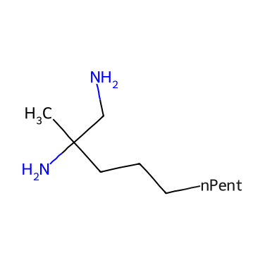 CCCCCCCCC(C)(N)CN